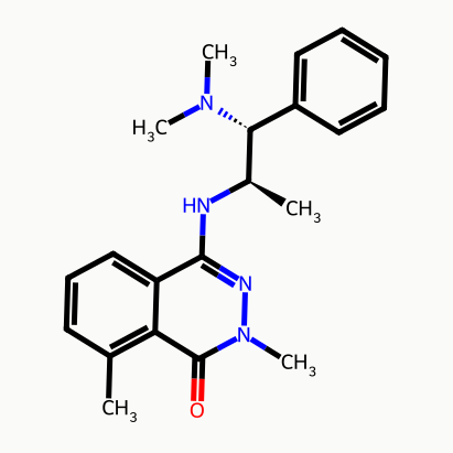 Cc1cccc2c(N[C@H](C)[C@@H](c3ccccc3)N(C)C)nn(C)c(=O)c12